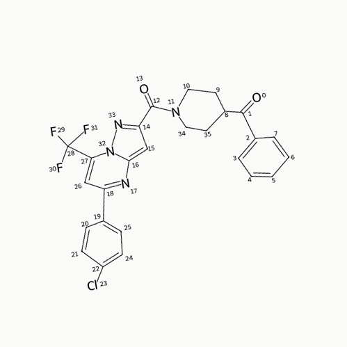 O=C(c1ccccc1)C1CCN(C(=O)c2cc3nc(-c4ccc(Cl)cc4)cc(C(F)(F)F)n3n2)CC1